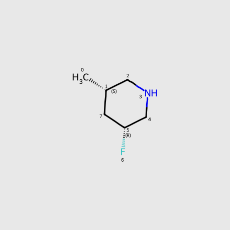 C[C@@H]1CNC[C@H](F)C1